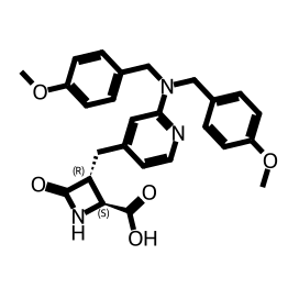 COc1ccc(CN(Cc2ccc(OC)cc2)c2cc(C[C@H]3C(=O)N[C@@H]3C(=O)O)ccn2)cc1